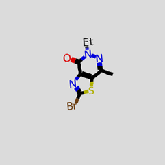 CCn1nc(C)c2sc(Br)nc2c1=O